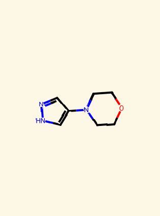 c1n[nH]cc1N1CCOCC1